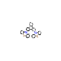 c1ccc2c(c1)Sc1ccccc1N2c1ccc2c3ccccc3c3ccc(N4c5ccccc5Sc5ccccc54)cc3c2c1